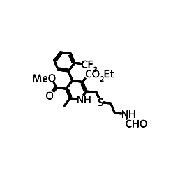 CCOC(=O)C1=C(CSCCNC=O)NC(C)=C(C(=O)OC)C1c1ccccc1C(F)(F)F